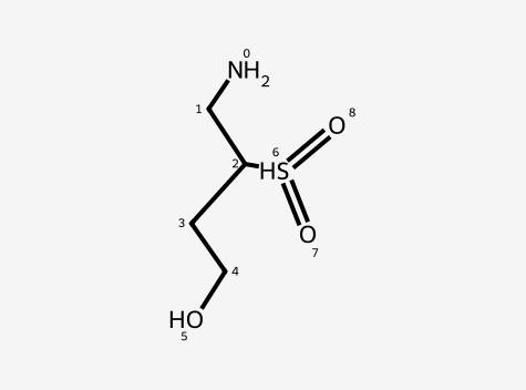 NCC(CCO)[SH](=O)=O